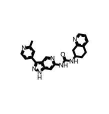 Cc1cc(-c2n[nH]c3cc(NC(=O)NC4CCc5cccnc5C4)ncc23)ccn1